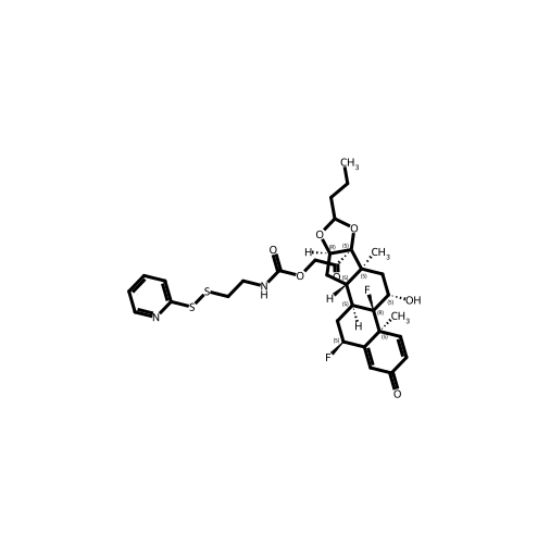 CCCC1O[C@@H]2C[C@H]3[C@@H]4C[C@H](F)C5=CC(=O)C=C[C@]5(C)[C@@]4(F)[C@@H](O)C[C@]3(C)[C@]2(C(=O)COC(=O)NCCSSc2ccccn2)O1